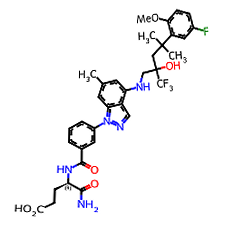 COc1ccc(F)cc1C(C)(C)CC(O)(CNc1cc(C)cc2c1cnn2-c1cccc(C(=O)N[C@H](CCC(=O)O)C(N)=O)c1)C(F)(F)F